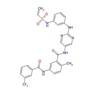 C=CS(=O)(=O)Nc1cccc(Nc2ncc(NC(=O)c3cc(NC(=O)c4cccc(C(F)(F)F)c4)ccc3C)cn2)c1